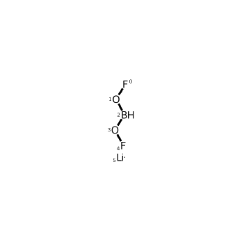 FOBOF.[Li]